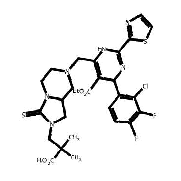 CCOC(=O)C1=C(CN2CCN3C(=S)N(CC(C)(C)C(=O)O)CC3C2)NC(c2nccs2)=NC1c1ccc(F)c(F)c1Cl